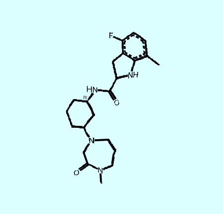 Cc1ccc(F)c2c1NC(C(=O)N[C@@H]1CCCC(N3CCCN(C)C(=O)C3)C1)C2